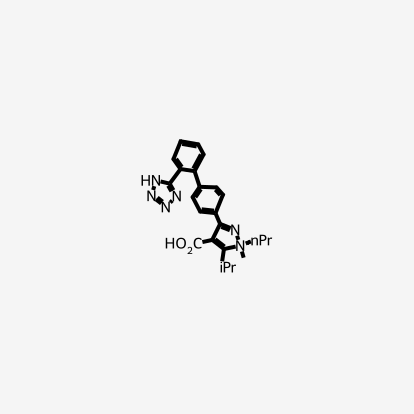 CCC[N+]1(C)N=C(c2ccc(-c3ccccc3-c3nnn[nH]3)cc2)C(C(=O)O)=C1C(C)C